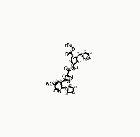 CC(C)(C)OC(=O)N1CC(NC(=O)c2nnc(-c3cc(C#N)cnc3N3CCCC3)o2)C[C@@H]1Cn1ccnn1